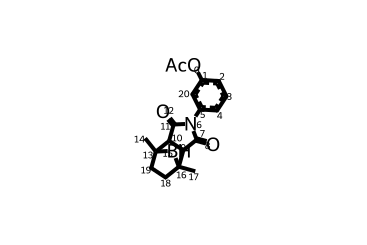 CC(=O)Oc1cccc(N2C(=O)C3C(C2=O)C2(C)BC3(C)CC2)c1